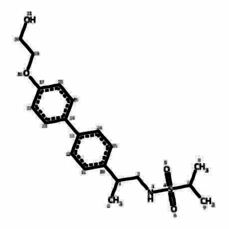 CC(CNS(=O)(=O)C(C)C)c1ccc(-c2ccc(OCCO)cc2)cc1